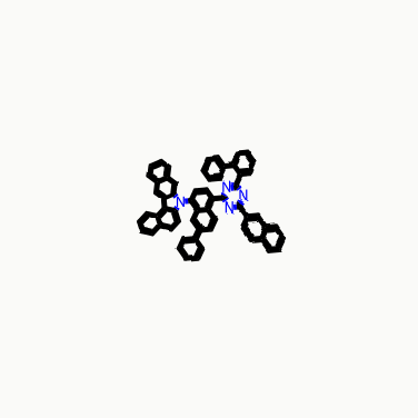 c1ccc(-c2ccc3c(-c4nc(-c5ccc6ccccc6c5)nc(-c5ccccc5-c5ccccc5)n4)ccc(-n4c5cc6ccccc6cc5c5c6ccccc6ccc54)c3c2)cc1